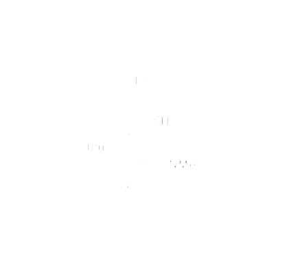 CNC(=O)C(C)(CC(C)C)C(C)(C)C